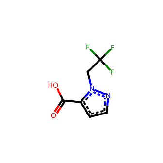 O=C(O)c1ccnn1CC(F)(F)F